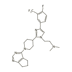 CN(C)CCn1cc(-c2ccc(F)c(C(F)(F)F)c2)nc1C1CCN(c2ncnc3c2CCC3)CC1